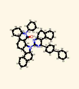 O=c1c2c(ccc3c4c5ccccc5ccc4n(-c4nc(-c5ccc(-c6ccccc6)cc5)c5c(ccc6ccccc65)n4)c32)c2ccccc2n1-c1ccccc1